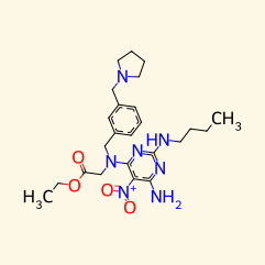 CCCCNc1nc(N)c([N+](=O)[O-])c(N(CC(=O)OCC)Cc2cccc(CN3CCCC3)c2)n1